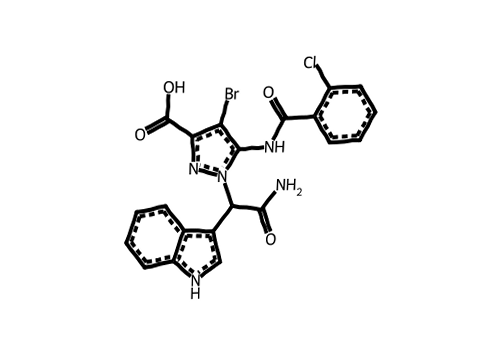 NC(=O)C(c1c[nH]c2ccccc12)n1nc(C(=O)O)c(Br)c1NC(=O)c1ccccc1Cl